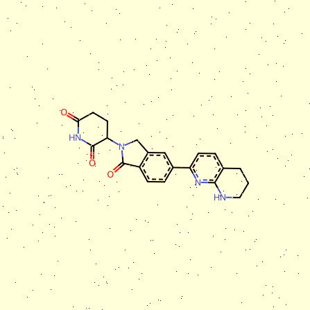 O=C1CCC(N2Cc3cc(-c4ccc5c(n4)NCCC5)ccc3C2=O)C(=O)N1